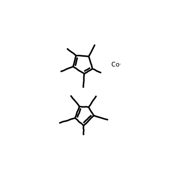 CC1=C(C)C(C)C(C)=C1C.CC1=C(C)C(C)C(C)=C1C.[Co]